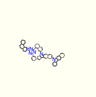 C1=CC(C2=NC(C3=C4C=C(n5c6c(c7c5=CC5=CC=C(n8c9ccccc9c9cc%10c(cc98)C=CCC%10)CC5C=7)C=CC6)C=CC4CCC3)NC(c3ccc4ccc5ccccc5c4c3)=N2)=CCC1